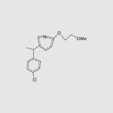 COCCOc1ccc(C(C)c2ccc(Cl)cc2)cn1